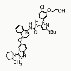 CC1CCCCN1c1nnc2ccc(O[C@@H]3CC[C@H](NC(=O)Nc4cc(C(C)(C)C)nn4-c4ccc(Cl)c(OCCO)c4)c4ccccc43)cn12